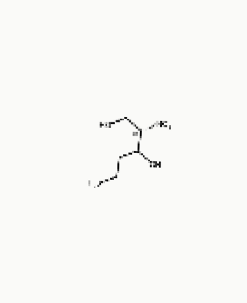 BCCC(O)[C@H](CO)[N+](=O)[O-]